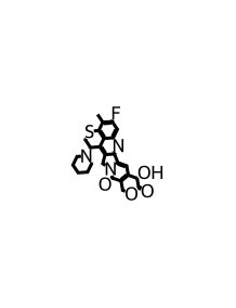 Cc1c(F)cc2nc3c(c4c2c1SCC4N1CCCCC1)Cn1c-3cc2c(c1=O)COC(=O)C2O